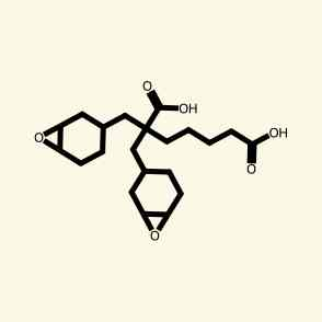 O=C(O)CCCCC(CC1CCC2OC2C1)(CC1CCC2OC2C1)C(=O)O